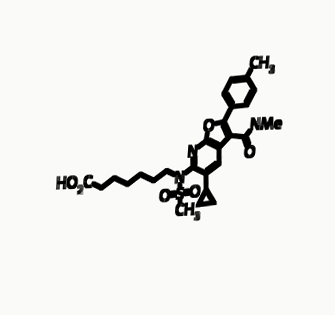 CNC(=O)c1c(-c2ccc(C)cc2)oc2nc(N(CCCCCCC(=O)O)S(C)(=O)=O)c(C3CC3)cc12